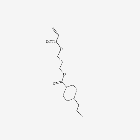 C=CC(=O)OCCCOC(=O)C1CCC(CCC)CC1